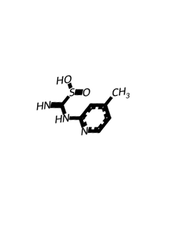 Cc1ccnc(NC(=N)S(=O)O)c1